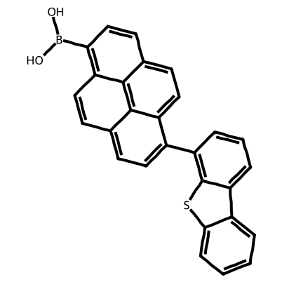 OB(O)c1ccc2ccc3c(-c4cccc5c4sc4ccccc45)ccc4ccc1c2c43